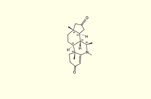 C[C@@H]1[C@H]2[C@@H]3CC(=O)C[C@@]3(C)CC[C@@H]2[C@@]2(C)CCC(=O)C=C2N1C